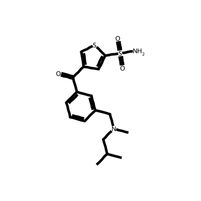 CC(C)CN(C)Cc1cccc(C(=O)c2csc(S(N)(=O)=O)c2)c1